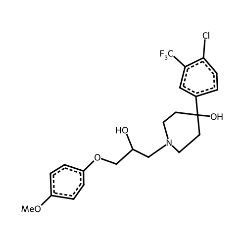 COc1ccc(OCC(O)CN2CCC(O)(c3ccc(Cl)c(C(F)(F)F)c3)CC2)cc1